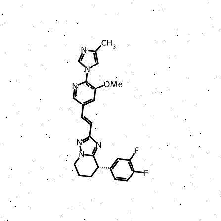 COc1cc(/C=C/c2nc3n(n2)CCC[C@H]3c2ccc(F)c(F)c2)cnc1-n1cnc(C)c1